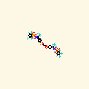 O=S(=O)(O/N=C(/c1ccc(OCCCOc2ccc(/C(=N/OS(=O)(=O)c3c(F)c(F)c(F)c(F)c3F)C(F)(F)F)cc2)cc1)C(F)(F)F)c1c(F)c(F)c(F)c(F)c1F